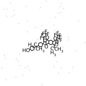 CC(C)C(=O)C1CC(C(=O)OC2CCC(C(C)(C)C3CCC(O)CC3)CC2)C(C(=O)OC(C(F)(F)F)C(F)(F)F)CC1C(=O)OC(C(F)(F)F)C(F)(F)F